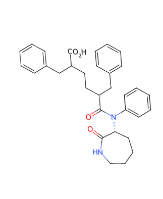 O=C(O)C(CCC(Cc1ccccc1)C(=O)N(c1ccccc1)[C@@H]1CCCCNC1=O)Cc1ccccc1